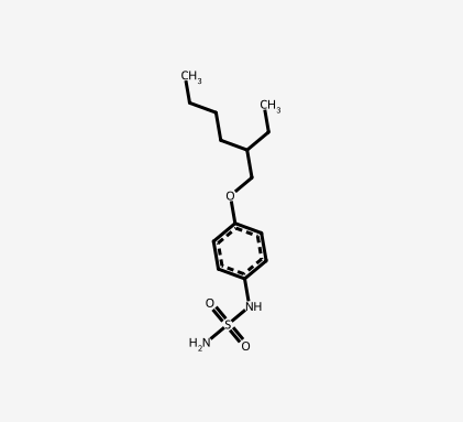 CCCCC(CC)COc1ccc(NS(N)(=O)=O)cc1